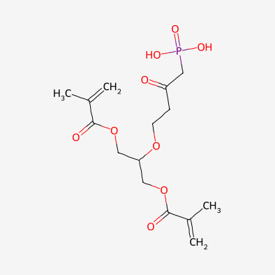 C=C(C)C(=O)OCC(COC(=O)C(=C)C)OCCC(=O)CP(=O)(O)O